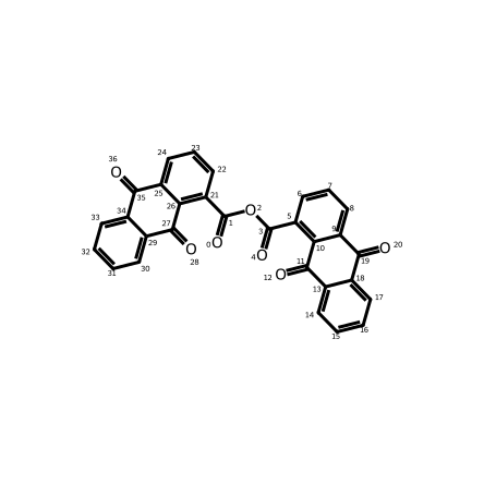 O=C(OC(=O)c1cccc2c1C(=O)c1ccccc1C2=O)c1cccc2c1C(=O)c1ccccc1C2=O